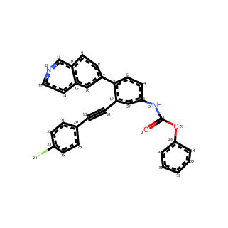 O=C(Nc1ccc(-c2ccc3cnccc3c2)c(C#Cc2ccc(F)cc2)c1)Oc1ccccc1